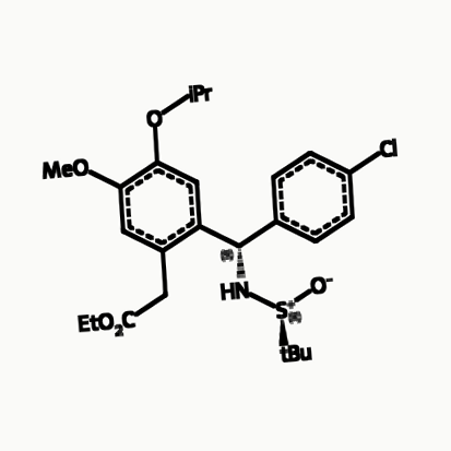 CCOC(=O)Cc1cc(OC)c(OC(C)C)cc1[C@@H](N[S@@+]([O-])C(C)(C)C)c1ccc(Cl)cc1